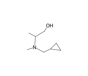 CC(CO)N(C)CC1CC1